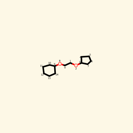 [CH](COC1CCCC1)OC1CCCCC1